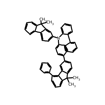 CC1(C)c2ccccc2-c2ccc(N(c3ccc(-c4ccc5c(c4)-c4c(-c6ccccc6)cccc4C5(C)C)cc3)c3ccccc3-c3ccccc3)cc21